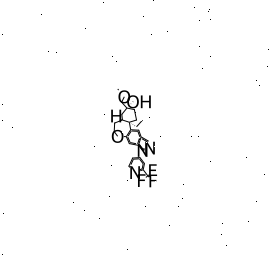 CC[C@@]12CC[C@](O)(COC)C[C@@H]1CCOc1cc3c(cnn3-c3ccnc(C(F)(F)F)c3)cc12